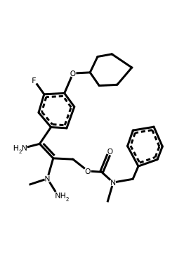 CN(Cc1ccccc1)C(=O)OC/C(=C(/N)c1ccc(OC2CCCCC2)c(F)c1)N(C)N